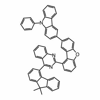 CC1(C)c2ccccc2-c2c(-c3nc(-c4cccc5oc6ccc(-c7ccc8c(c7)c7ccccc7n8-c7ccccc7)cc6c45)nc4ccccc34)cccc21